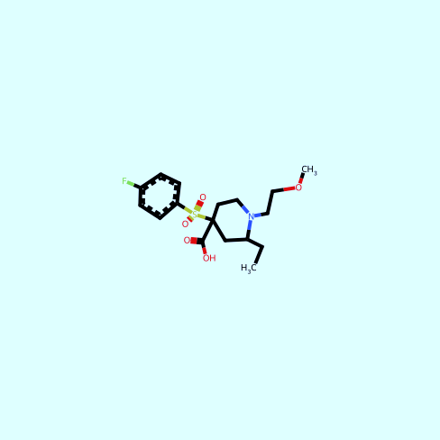 CCC1CC(C(=O)O)(S(=O)(=O)c2ccc(F)cc2)CCN1CCOC